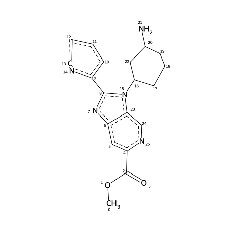 COC(=O)c1cc2nc(-c3ccccn3)n(C3CCCC(N)C3)c2cn1